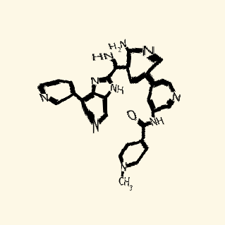 CN1CCC(C(=O)Nc2cncc(-c3cnc(N)c(C(=N)c4nc5c(-c6cccnc6)cncc5[nH]4)c3)c2)CC1